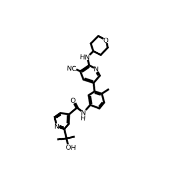 Cc1ccc(NC(=O)c2ccnc(C(C)(C)O)c2)cc1-c1cnc(NC2CCOCC2)c(C#N)c1